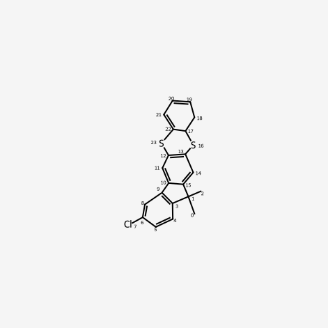 CC1(C)c2ccc(Cl)cc2-c2cc3c(cc21)SC1CC=CC=C1S3